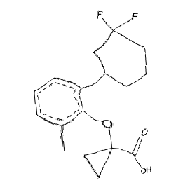 Cc1cccc(C2CCCC(F)(F)C2)c1OC1(C(=O)O)CC1